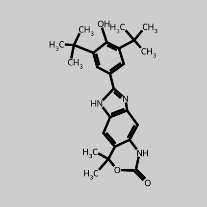 CC(C)(C)c1cc(-c2nc3cc4c(cc3[nH]2)C(C)(C)OC(=O)N4)cc(C(C)(C)C)c1O